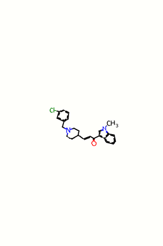 Cn1cc(C(=O)/C=C/C2CCN(Cc3cccc(Cl)c3)CC2)c2ccccc21